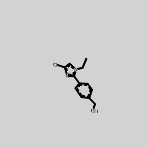 CCn1cc(Cl)nc1-c1ccc(CO)cc1